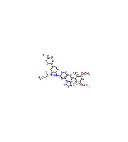 C=CC(=O)Nc1cc(C2CCN(C)CC2)ccc1Nc1ncc2cc(-c3c(Cl)c(OC)cc(OC)c3Cl)c3nccn3c2n1